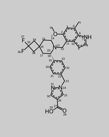 COc1cc(C)c2[nH]ccc2c1CN1CCC2(C[C@H]1c1ccc(Cn3cc(C(=O)O)cn3)cc1)CC(F)(F)C2